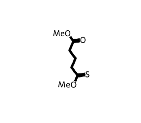 COC(=O)CCCC(=S)OC